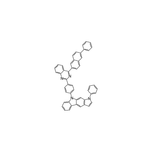 c1ccc(-c2ccc3cc(-c4nc(-c5ccc(-n6c7ccccc7c7cc8ccn(-c9ccccc9)c8cc76)cc5)nc5ccccc45)ccc3c2)cc1